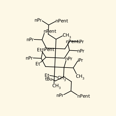 CCCCCC(CCC)C[C](CC(C)(C)C)C(CCC)(C(C)C(C)C)C(CC(CCC)CCCCC)(C(C)(C)CC)C(CC(CCC)CCCCC)(C(CC)CC)C(CCC(C)C)(CC(CCC)CCCCC)C(C)CC(CCC)CCCCC